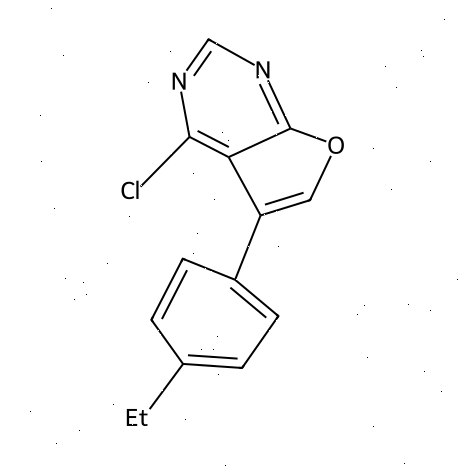 CCc1ccc(-c2coc3ncnc(Cl)c23)cc1